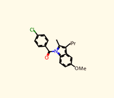 COc1ccc2c(c1)c(C(C)C)c(C)n2C(=O)c1ccc(Cl)cc1